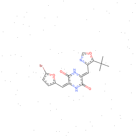 CC(C)(C)c1ocnc1C=c1[nH]c(=O)c(=Cc2ccc(Br)o2)[nH]c1=O